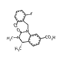 C[C@H]1c2ccc(C(=O)O)cc2N(Cc2c(F)cccc2Cl)C(=O)N1C